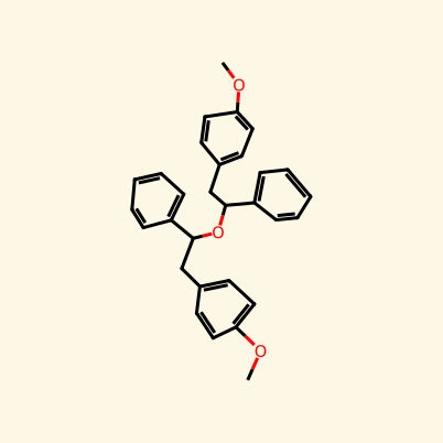 COc1ccc(CC(OC(Cc2ccc(OC)cc2)c2ccccc2)c2ccccc2)cc1